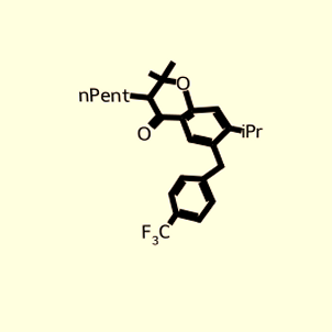 CCCCCC1C(=O)c2cc(Cc3ccc(C(F)(F)F)cc3)c(C(C)C)cc2OC1(C)C